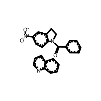 O=C(c1ccccc1)N1CCc2cc([N+](=O)[O-])ccc21.c1ccc2ncccc2c1